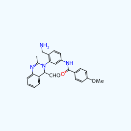 COc1ccc(C(=O)Nc2ccc(CN)c(N3C(C)=Nc4ccccc4C3C=O)c2)cc1